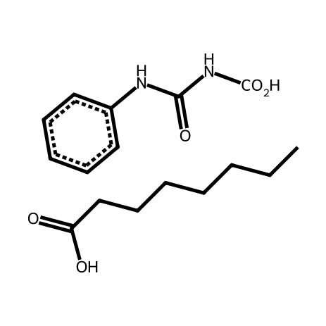 CCCCCCCC(=O)O.O=C(O)NC(=O)Nc1ccccc1